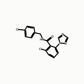 O=C(NCc1ccc(Cl)cc1)c1c(Cl)cccc1-n1cncn1